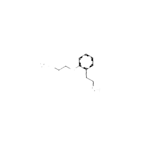 COCCOc1ccccc1CC[NH]